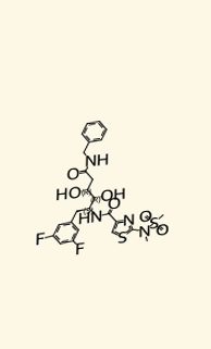 CN(c1nc(C(=O)N[C@@H](Cc2cc(F)cc(F)c2)[C@@H](O)[C@H](O)CC(=O)NCc2ccccc2)cs1)S(C)(=O)=O